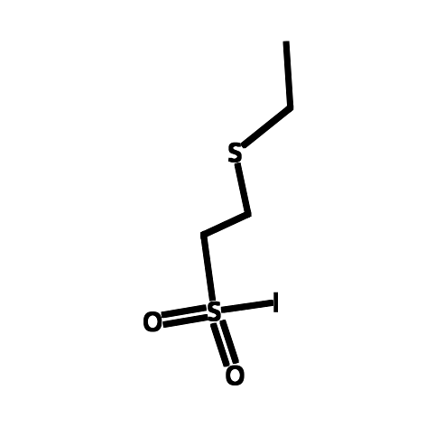 CCSCCS(=O)(=O)I